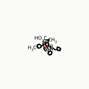 Cc1ccc(C(=O)N2CCN(c3ccccc3N(CCc3ccccc3)S(=O)(=O)c3ccc4oc(C(=O)O)c(C)c4c3)CC2)cc1